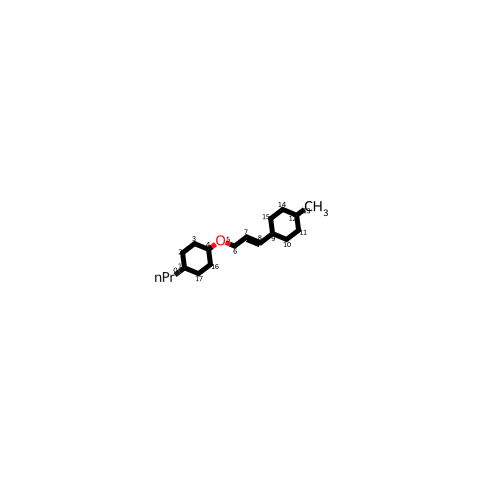 CCCC1CCC(OCC=CC2CCC(C)CC2)CC1